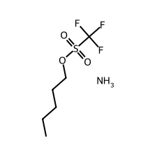 CCCCCOS(=O)(=O)C(F)(F)F.N